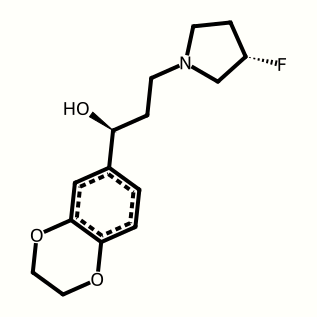 O[C@@H](CCN1CC[C@H](F)C1)c1ccc2c(c1)OCCO2